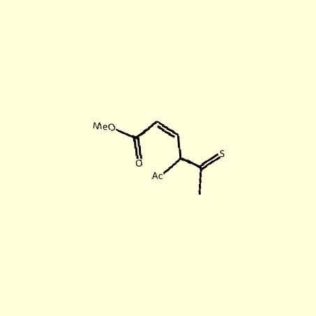 COC(=O)/C=C\C(C(C)=O)C(C)=S